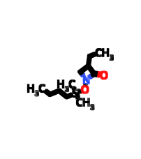 CCCC[Si](C)(C)ON1CC(CC)C1=O